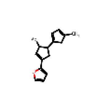 CC(=O)C1C=C(c2ccco2)CC1C1=CC=C(C)C1